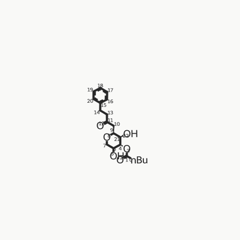 CCCCC(=O)O[C@@H]1C(O)CO[C@@H](CC(=O)CCc2ccccc2)[C@H]1O